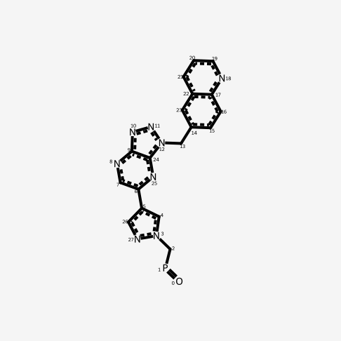 O=PCn1cc(-c2cnc3nnn(Cc4ccc5ncccc5c4)c3n2)cn1